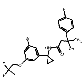 CC(O)(CC(=O)NC1(c2cc(Br)cc(OCC(F)(F)F)c2)CC1)c1ccc(F)cc1